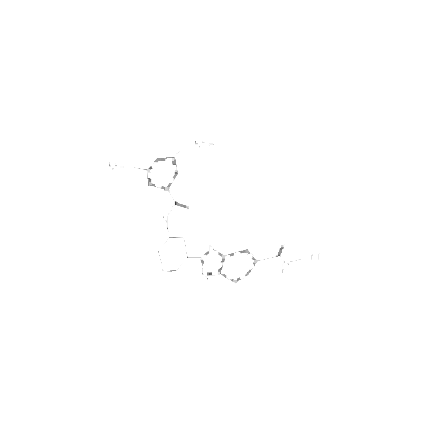 COc1cc(OC)cc(C(=O)N[C@@H]2CCCC(c3nc4ccc(C(=O)N(C)C)cc4[nH]3)C2)c1